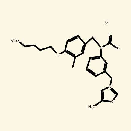 CCCCCCCCCCCCCCOc1ccc(CN(C(=O)CC)c2cccc(C[n+]3csc(C)c3)c2)cc1F.[Br-]